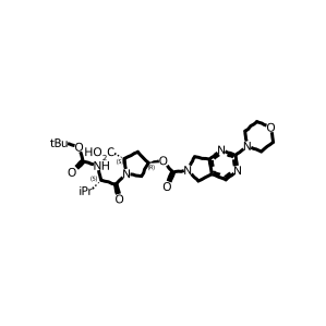 CC(C)[C@H](NC(=O)OC(C)(C)C)C(=O)N1C[C@H](OC(=O)N2Cc3cnc(N4CCOCC4)nc3C2)C[C@H]1C(=O)O